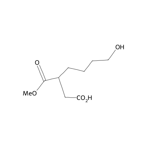 COC(=O)C(CCCCO)CC(=O)O